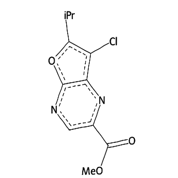 COC(=O)c1cnc2oc(C(C)C)c(Cl)c2n1